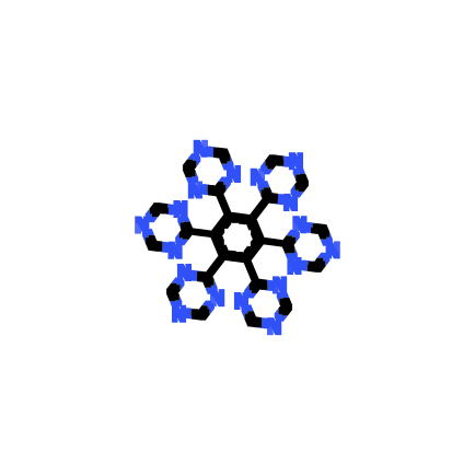 c1ncnc(-c2c(-c3ncncn3)c(-c3ncncn3)c(-c3ncncn3)c(-c3ncncn3)c2-c2ncncn2)n1